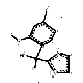 COc1cc(Cl)ccc1C(C)(O)c1ncc[nH]1